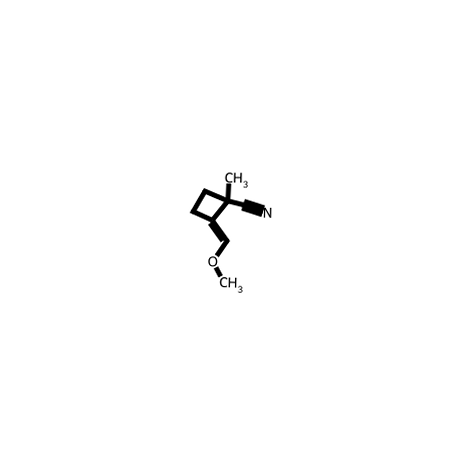 COC=C1CCC1(C)C#N